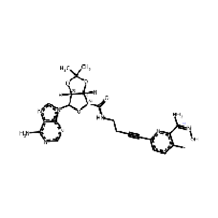 CC1(C)O[C@@H]2[C@@H](C(=O)NCCC#Cc3ccc(F)c(/C(N)=N\O)n3)OC(n3cnc4c(N)ncnc43)[C@@H]2O1